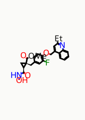 CCc1cc(COc2ccc(C[C@]3(C(=O)OC)C[C@@H]3C(=O)NO)cc2F)c2ccccc2n1